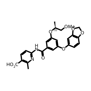 COC[C@H](C)Oc1cc(Oc2ccc3c(c2)OCO3)cc(C(=O)Nc2ccc(C(=O)O)c(C)n2)c1